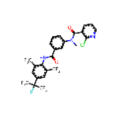 CN(C(=O)c1cccnc1Cl)c1cccc(C(=O)Nc2c(C(F)(F)F)cc(C(F)(C(F)(F)F)C(F)(F)F)cc2C(F)(F)F)c1